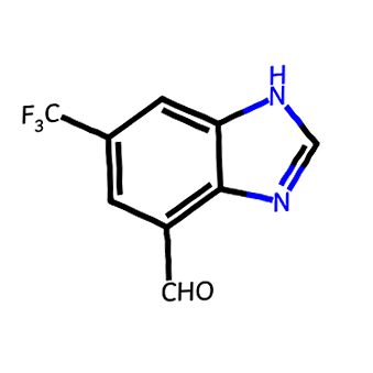 O=Cc1cc(C(F)(F)F)cc2[nH]cnc12